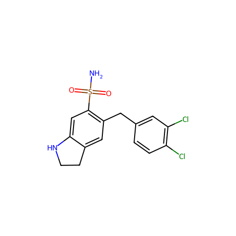 NS(=O)(=O)c1cc2c(cc1Cc1ccc(Cl)c(Cl)c1)CCN2